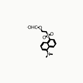 CN(C)c1cccc2c(S(=O)(=O)CCO[C]=O)cccc12